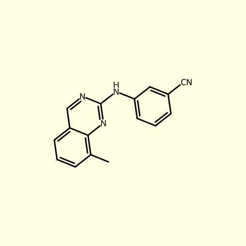 Cc1cccc2cnc(Nc3cccc(C#N)c3)nc12